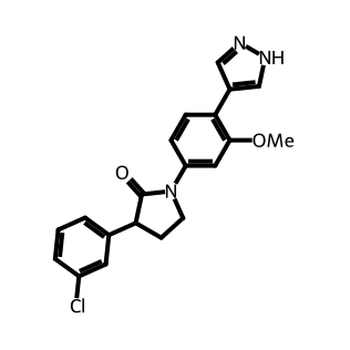 COc1cc(N2CCC(c3cccc(Cl)c3)C2=O)ccc1-c1cn[nH]c1